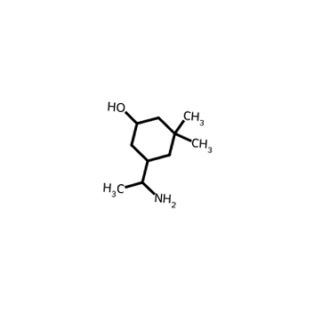 CC(N)C1CC(O)CC(C)(C)C1